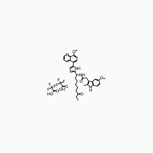 CCC(=O)CCCCCC(NC(=O)Cc1c(C)[nH]c2ccc(OC)cc12)c1ncc(-c2ccc(OC)c3ncccc23)[nH]1.O=C(O)C(F)(F)F.O=C(O)C(F)(F)F